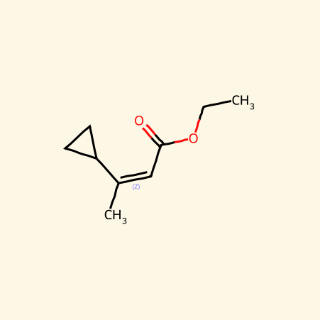 CCOC(=O)/C=C(/C)C1CC1